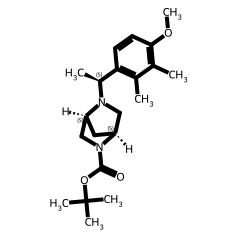 COc1ccc([C@H](C)N2C[C@@H]3C[C@H]2CN3C(=O)OC(C)(C)C)c(C)c1C